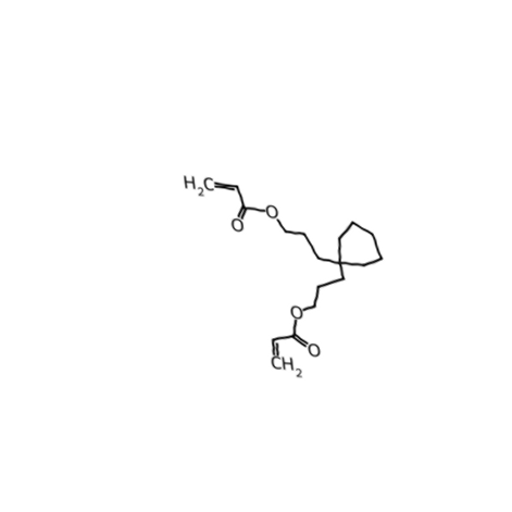 C=CC(=O)OCCCC1(CCCOC(=O)C=C)CCCCC1